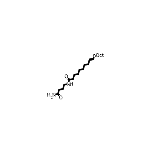 CCCCCCCCC=CCCCCCCCC(=O)NCCCC(N)=O